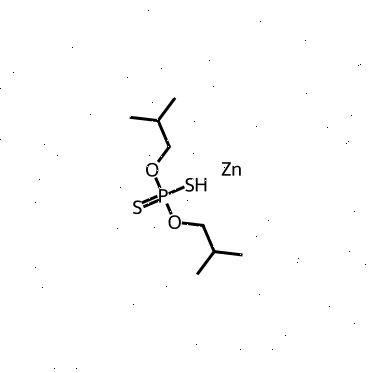 CC(C)COP(=S)(S)OCC(C)C.[Zn]